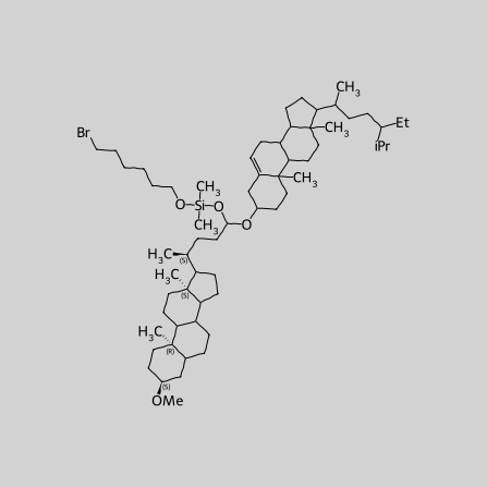 CCC(CCC(C)C1CCC2C3CC=C4CC(OC(CC[C@H](C)C5CCC6C7CCC8C[C@@H](OC)CC[C@@]8(C)C7CC[C@]65C)O[Si](C)(C)OCCCCCCBr)CCC4(C)C3CCC12C)C(C)C